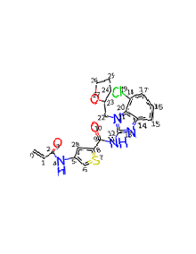 C=CC(=O)Nc1csc(C(=O)Nc2nc3cccc(Cl)c3n2CC2CCCO2)c1